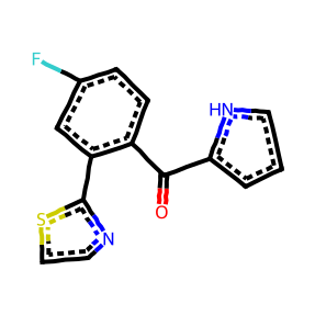 O=C(c1ccc[nH]1)c1ccc(F)cc1-c1nccs1